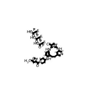 Cc1cc(C(=O)N2CCC(Nc3ccc4cc3CCc3cncc(c3)Nc3ncc(Cl)c(n3)N4)CC2)no1.O=C(O)C(F)(F)F.O=C(O)C(F)(F)F.O=C(O)C(F)(F)F